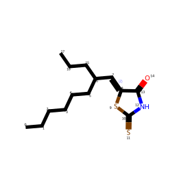 CCCCCCC(/C=C1\SC(=S)NC1=O)CCC